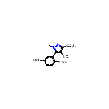 CCOC(=O)c1nn(C)c(-c2cc(OC)ccc2OC)c1[N+](=O)[O-]